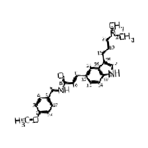 COc1ccc(CNC(=O)/C=C/c2ccc3[nH]cc(CCCN(C)C)c3c2)cc1